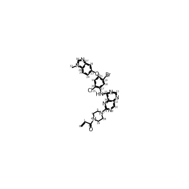 C=CC(=O)N1CCN(c2ncc3ncnc(Nc4cc(Br)c(Oc5ccc6c(c5)ncn6C)cc4Cl)c3n2)CC1